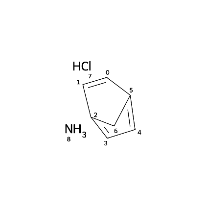 C1=CC2=CC=C1C2.Cl.N